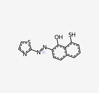 Oc1c(/N=N/c2nccs2)ccc2cccc(S)c12